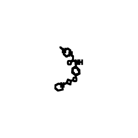 CN1CCN(CC(=O)Nc2ccc(OC3CC(N4CCCCC4)C3)cc2)CC1